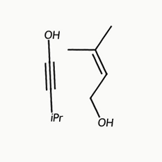 CC(C)=CCO.CC(C)C#CO